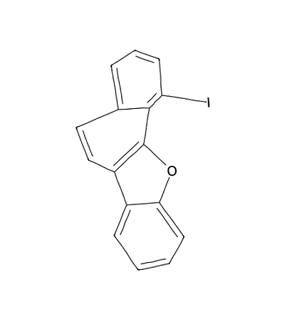 Ic1cccc2ccc3c4ccccc4oc3c12